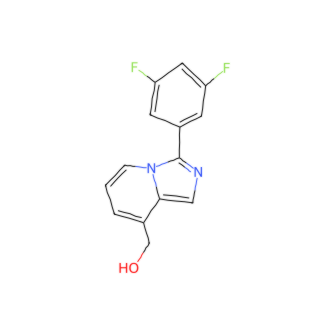 OCc1cccn2c(-c3cc(F)cc(F)c3)ncc12